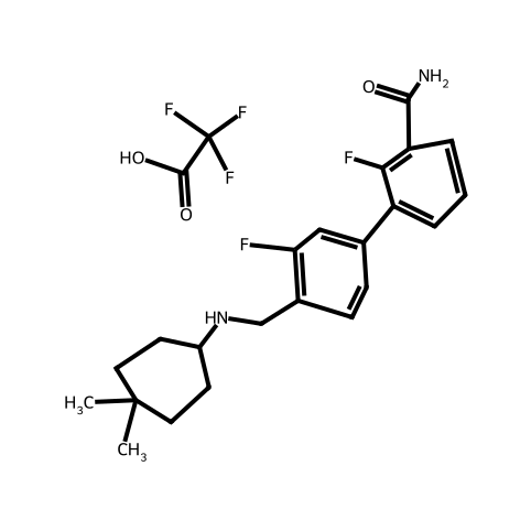 CC1(C)CCC(NCc2ccc(-c3cccc(C(N)=O)c3F)cc2F)CC1.O=C(O)C(F)(F)F